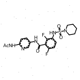 CC(=O)Nc1ccc(NC(=O)c2c(F)ccc(NS(=O)(=O)N3CCCCC3)c2F)cn1